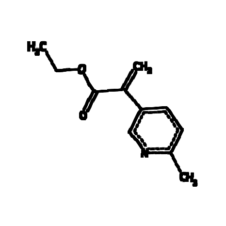 C=C(C(=O)OCC)c1ccc(C)nc1